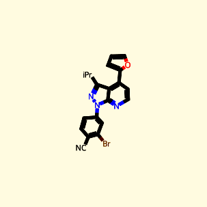 CC(C)c1nn(-c2ccc(C#N)c(Br)c2)c2nccc(-c3ccco3)c12